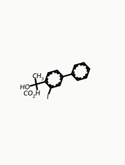 CC(O)(C(=O)O)c1ccc(-c2ccccc2)cc1I